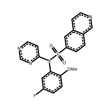 COc1ccc(F)cc1N(c1ccncn1)S(=O)(=O)c1ccc2cnccc2c1